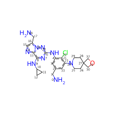 NCc1cc(Nc2nc(NC3CC3)c3ncc(CN)n3n2)c(Cl)c(N2CCC3(CC2)COC3)c1